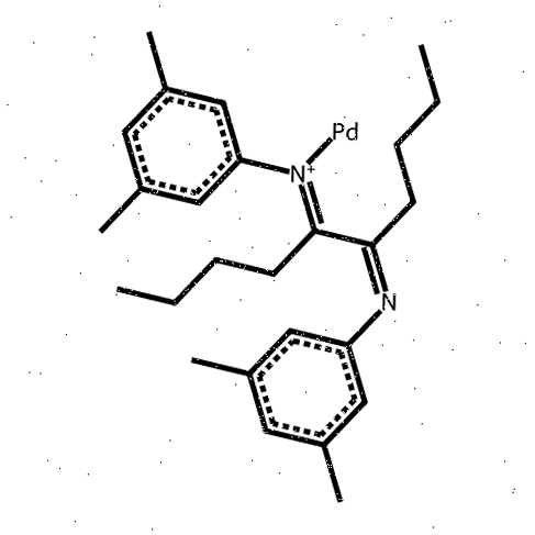 CCCCC(=Nc1cc(C)cc(C)c1)C(CCCC)=[N+]([Pd])c1cc(C)cc(C)c1